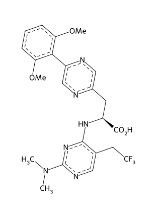 COc1cccc(OC)c1-c1cnc(C[C@H](Nc2nc(N(C)C)ncc2CC(F)(F)F)C(=O)O)cn1